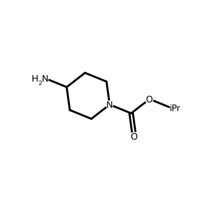 CC(C)OC(=O)N1CCC(N)CC1